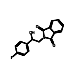 O=C1c2ccccc2C(=O)N1CC(O)c1ccc(F)cc1